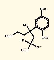 CCCC(CCC)(CC(C#N)(CCC(=O)O)c1cc(OC)ccc1OC)C(=O)O